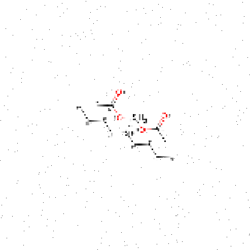 CC(=O)O[SiH2]OC(C)=O.CCC[CH2][Sn][CH2]CCC